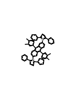 Cc1ccc(-c2c3ccc(-n4c(-c5ccccc5)ccc4-c4ccccc4)cc3c(-c3ccc(C)c(C)c3)c3ccc(-n4c(-c5ccccc5)ccc4-c4ccccc4)cc23)cc1C